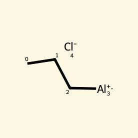 CC[CH2][Al+].[Cl-]